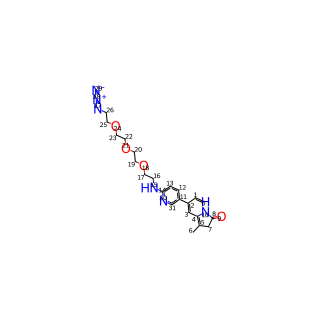 C=C/C(=C\C1=C(C)CC(=O)N1)c1ccc(NCCOCCOCCOCCN=[N+]=[N-])nc1